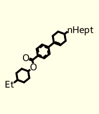 CCCCCCCC1CC=C(c2ccc(C(=O)OC3CCC(CC)CC3)cc2)CC1